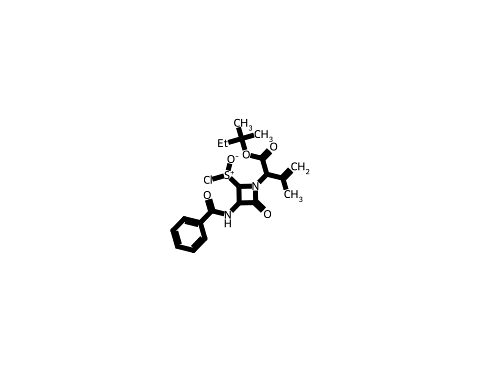 C=C(C)C(C(=O)OC(C)(C)CC)N1C(=O)C(NC(=O)c2ccccc2)C1[S+]([O-])Cl